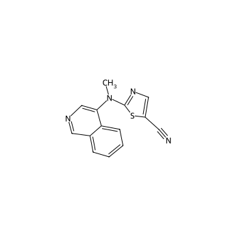 CN(c1ncc(C#N)s1)c1cncc2ccccc12